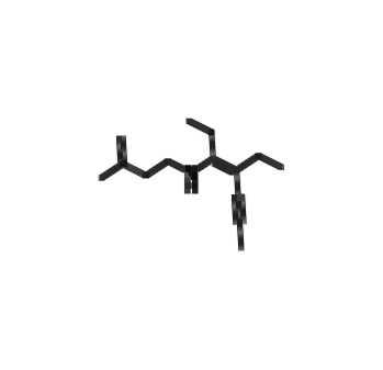 C=C(C)CCN/C(CC)=C(\C#CC)CC